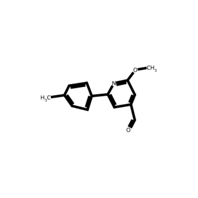 COc1cc(C=O)cc(-c2ccc(C)cc2)n1